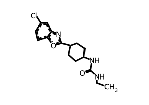 CCNC(=O)NC1CCC(c2nc3cc(Cl)ccc3o2)CC1